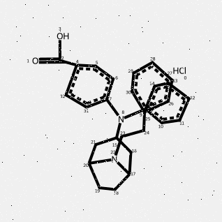 Cl.O=C(O)c1ccc(N(c2ccccc2)C2CC3CCC(C2)N3CCc2ccccc2)cc1